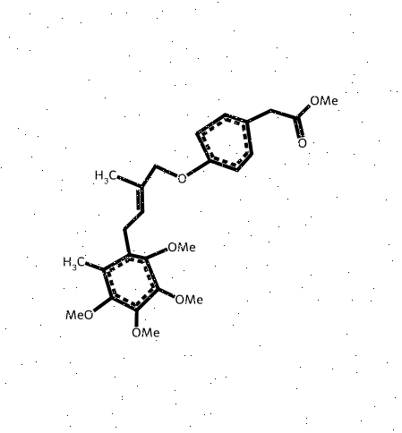 COC(=O)Cc1ccc(OCC(C)=CCc2c(C)c(OC)c(OC)c(OC)c2OC)cc1